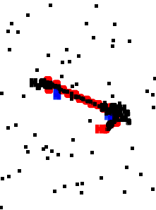 CC1CC(=O)N(CCC(=O)NCCOCCOCCOCCOCCOCCOCCOCCOCCC(=O)N[C@H](C(=O)N[C@@H](C)C(=O)Nc2ccc(CO)cc2)C(C)C)C1=O